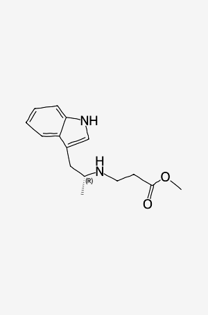 COC(=O)CCN[C@H](C)Cc1c[nH]c2ccccc12